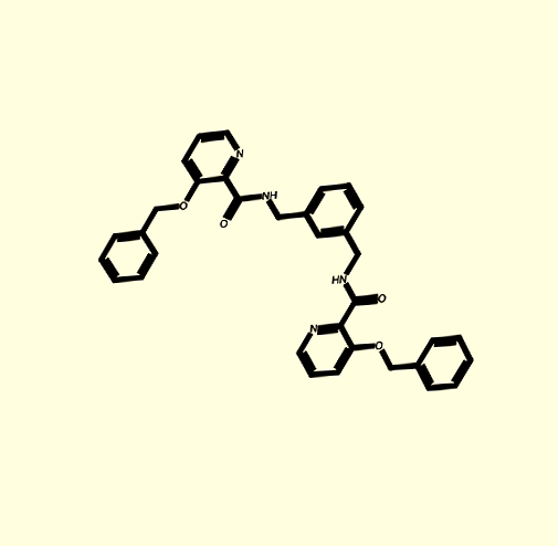 O=C(NCc1cccc(CNC(=O)c2ncccc2OCc2ccccc2)c1)c1ncccc1OCc1ccccc1